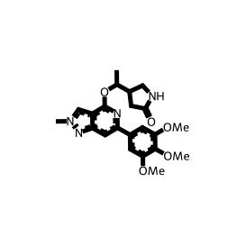 COc1cc(-c2cc3nn(C)cc3c(OC(C)C3CNC(=O)C3)n2)cc(OC)c1OC